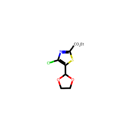 CCOC(=O)c1nc(Cl)c(C2OCCO2)s1